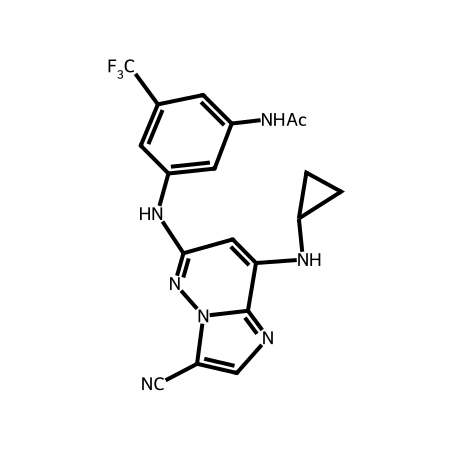 CC(=O)Nc1cc(Nc2cc(NC3CC3)c3ncc(C#N)n3n2)cc(C(F)(F)F)c1